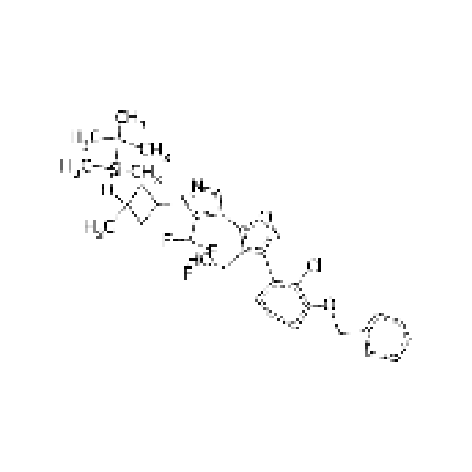 CC1(O[Si](C)(C)C(C)(C)C)CC(n2ncc(-c3onc(-c4cccc(OCc5ccccc5)c4Cl)c3CO)c2C(F)(F)F)C1